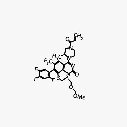 C=CC(=O)N1CCN(c2nc(=O)n3c4c(c(-c5cc(F)c(F)cc5F)c(C(F)(F)F)cc24)SC[C@@H]3COCOC)[C@@H](C)C1